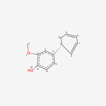 COc1cc([C@H]2C=CC=CC2)ccc1O